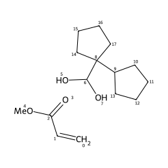 C=CC(=O)OC.OC(O)C1(C2CCCC2)CCCC1